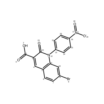 O=C(O)c1cc2ccc(Br)cc2n(-c2ccc([N+](=O)[O-])cc2)c1=O